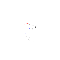 CC1CN(C(=O)C(N)=O)C(c2ccccc2)CN1C(=O)C1(C)CC1